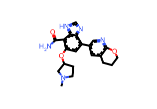 CN1CCC(Oc2cc(-c3cnc4c(c3)CCCO4)c3nc[nH]c3c2C(N)=O)C1